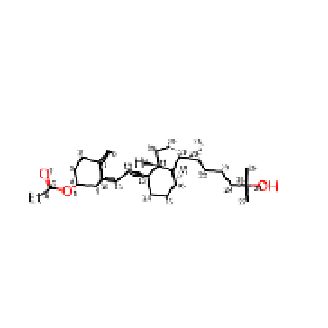 C=C1CC[C@H](OC(=O)CC)C/C1=C/C=C1\CCC[C@]2(C)[C@@H]([C@H](C)CCCC(C)(C)O)CC[C@@H]12